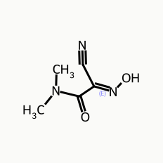 CN(C)C(=O)/C(C#N)=N/O